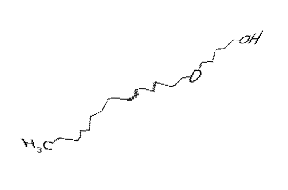 CCCCCCCCCCCCCCOCCCCCO